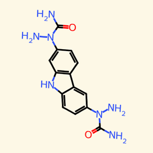 NC(=O)N(N)c1ccc2c(c1)[nH]c1ccc(N(N)C(N)=O)cc12